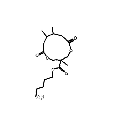 CC1CC(=O)OCC(C)(C(=O)OCCCCS(=O)(=O)O)COC(=O)CC1C